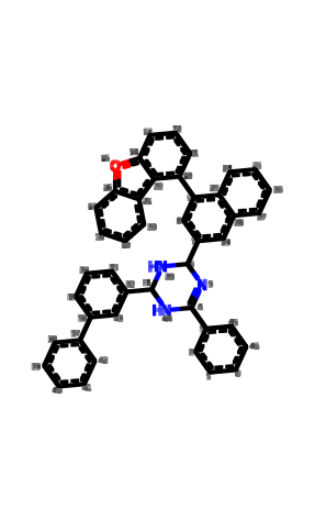 c1ccc(C2=NC(c3cc(-c4cccc5oc6ccccc6c45)c4ccccc4c3)NC(c3cccc(-c4ccccc4)c3)N2)cc1